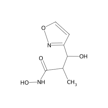 CC(C(=O)NO)C(O)c1ccon1